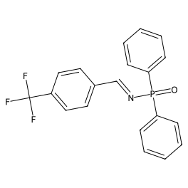 O=P(N=Cc1ccc(C(F)(F)F)cc1)(c1ccccc1)c1ccccc1